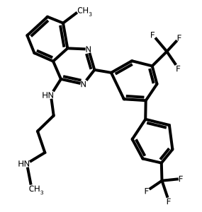 CNCCCNc1nc(-c2cc(-c3ccc(C(F)(F)F)cc3)cc(C(F)(F)F)c2)nc2c(C)cccc12